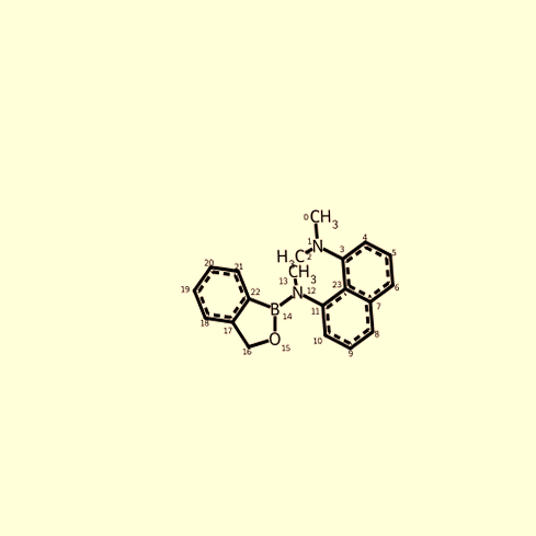 CN(C)c1cccc2cccc(N(C)B3OCc4ccccc43)c12